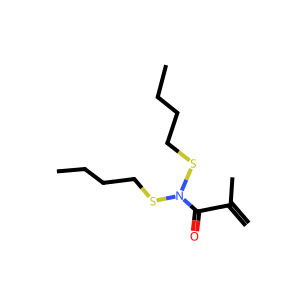 C=C(C)C(=O)N(SCCCC)SCCCC